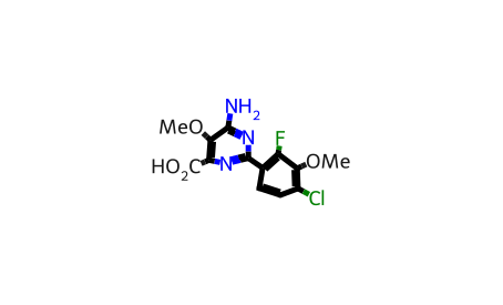 COc1c(N)nc(-c2ccc(Cl)c(OC)c2F)nc1C(=O)O